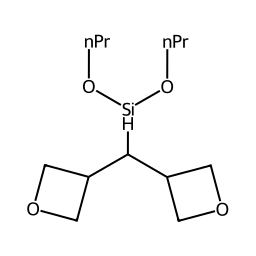 CCCO[SiH](OCCC)C(C1COC1)C1COC1